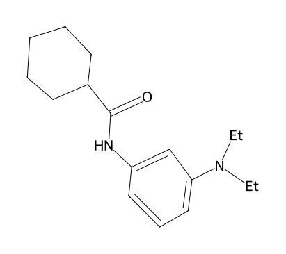 CCN(CC)c1cccc(NC(=O)C2CCCCC2)c1